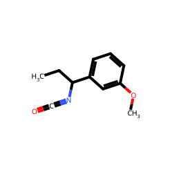 CCC(N=C=O)c1cccc(OC)c1